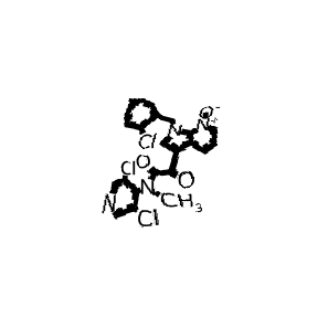 CN(C(=O)C(=O)c1cn(Cc2ccccc2Cl)c2c1ccc[n+]2[O-])c1c(Cl)cncc1Cl